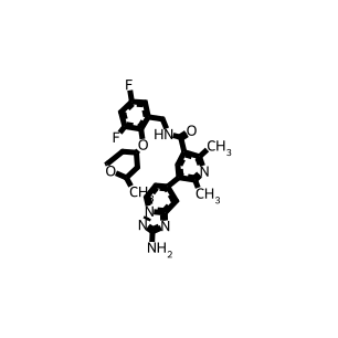 Cc1nc(C)c(-c2ccn3nc(N)nc3c2)cc1C(=O)NCc1cc(F)cc(F)c1OC1CCOC(C)C1